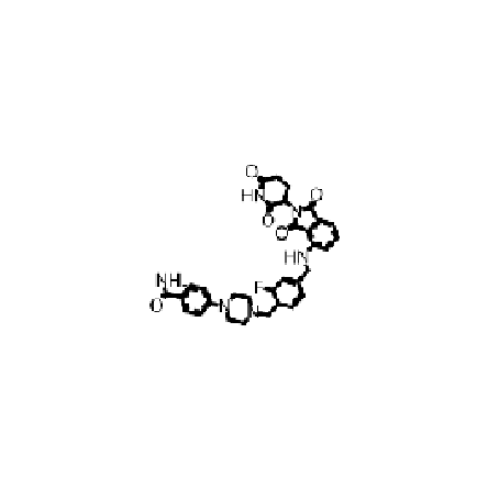 NC(=O)c1ccc(N2CCN(CC3C=CC(CNc4cccc5c4C(=O)N(C4CCC(=O)NC4=O)C5=O)=CC3F)CC2)cc1